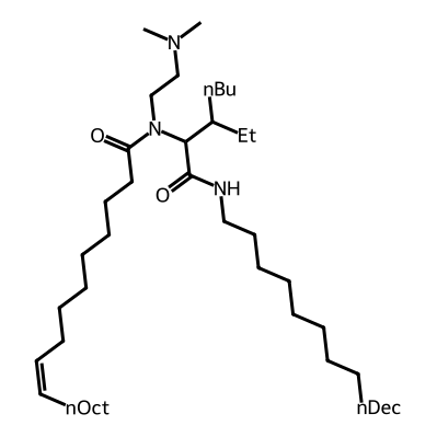 CCCCCCCC/C=C\CCCCCCCC(=O)N(CCN(C)C)C(C(=O)NCCCCCCCCCCCCCCCCCC)C(CC)CCCC